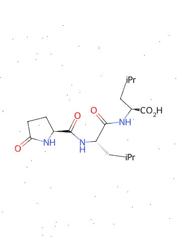 CC(C)C[C@H](NC(=O)[C@H](CC(C)C)NC(=O)[C@@H]1CCC(=O)N1)C(=O)O